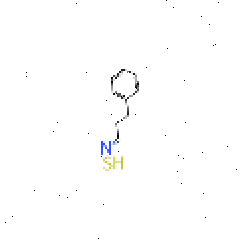 SN=CCCc1ccccc1